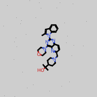 Cc1cc2ccccc2n1-c1nc(N2CCOCC2)c2nc(CN3CCC(C(C)(C)O)CC3)ccc2n1